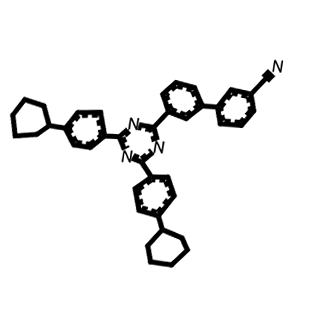 N#Cc1cccc(-c2cccc(-c3nc(-c4ccc(C5CCCCC5)cc4)nc(-c4ccc(C5CCCCC5)cc4)n3)c2)c1